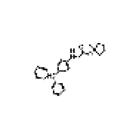 CC1(OC(=O)CNc2ccc([SH](c3ccccc3)C3C=CC=CC3)cc2)CCCC1